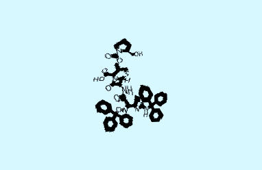 O=C(O)C1=C(COC(=O)N2CCC[C@H]2CO)CS[C@@H]2C(NC(=O)/C(=N\OC(c3ccccc3)(c3ccccc3)c3ccccc3)c3csc(NC(c4ccccc4)(c4ccccc4)c4ccccc4)n3)C(=O)N12